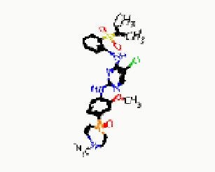 COc1cc(P2(=O)CCN(C)CC2)ccc1Nc1ncc(Cl)c(Nc2ccccc2S(=O)(=O)C(C)C)n1